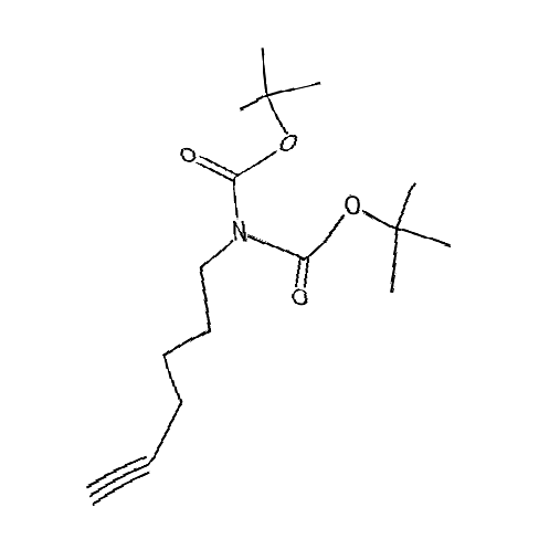 C#CCCCCN(C(=O)OC(C)(C)C)C(=O)OC(C)(C)C